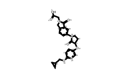 O=C(O)CN1Cc2ccc(N3CCC(Oc4ccc(OCC5CC5)nc4)C3=O)cc2C1=O